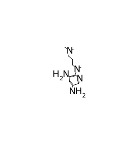 CN(C)CCCN(C)c1ncc(N)cc1N